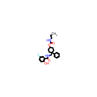 C=CCNC(=O)OC1CCC(CNC(=O)c2cc(F)ccc2O)(c2ccccc2)CC1